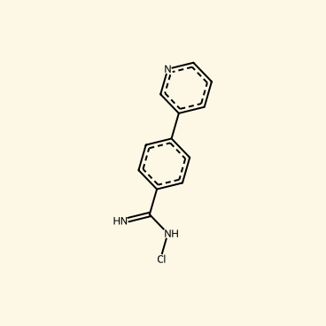 N=C(NCl)c1ccc(-c2cccnc2)cc1